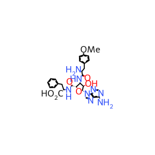 COc1ccc(C[C@H](N)C(=O)N[C@H]2[C@@H](O)[C@H](n3cnc4c(N)ncnc43)O[C@@H]2C(=O)N[C@H](Cc2ccccc2)C(=O)O)cc1